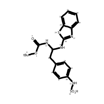 CC(C)(C)OC(=O)NC(Cc1ccc(NS(=O)(=O)O)cc1)Nc1nc2ccccc2s1